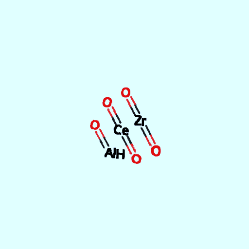 [O]=[AlH].[O]=[Ce]=[O].[O]=[Zr]=[O]